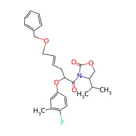 Cc1cc(OC(CC=CCOCc2ccccc2)C(=O)N2C(=O)OCC2C(C)C)ccc1F